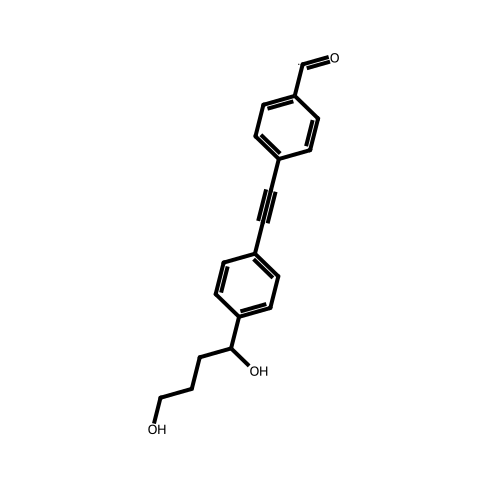 O=[C]c1ccc(C#Cc2ccc(C(O)CCCO)cc2)cc1